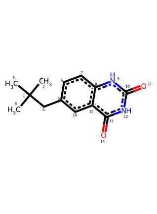 CC(C)(C)Cc1ccc2[nH]c(=O)[nH]c(=O)c2c1